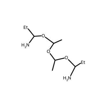 CCC(N)OC(C)OC(C)OC(N)CC